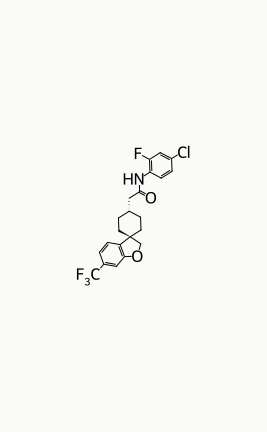 O=C(C[C@H]1CC[C@@]2(CC1)COc1cc(C(F)(F)F)ccc12)Nc1ccc(Cl)cc1F